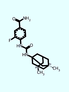 C[C@]12CC3CC(NC(=O)Nc4ccc(C(N)=O)cc4F)(C1)C[C@@](C)(C3)C2